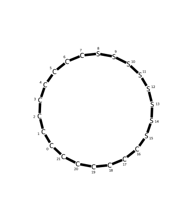 C1CCCCCCCSSSSSSSSCCCCCC1